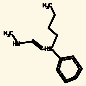 CCCC[SiH](C=CNC)c1ccccc1